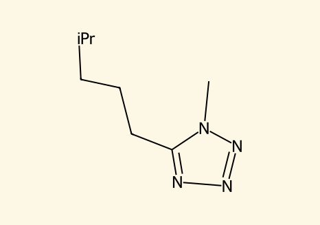 CC(C)CCCc1nnnn1C